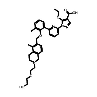 CCOc1c(C(=O)O)cnn1-c1cccc(-c2cccc(C)c2OCc2ccc3c(c2C)CCN(CCOCCO)C3)n1